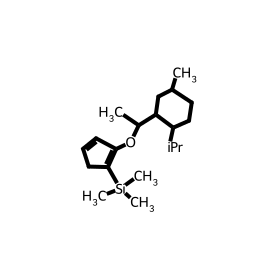 CC1CCC(C(C)C)C(C(C)OC2=C([Si](C)(C)C)CC=C2)C1